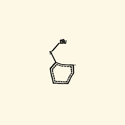 CC(C)(C)Sc1[c]cccc1